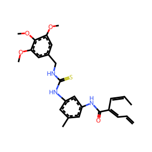 C=C/C=C(\C=C/C)C(=O)Nc1cc(C)cc(NC(=S)NCc2cc(OC)c(OC)c(OC)c2)c1